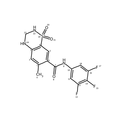 Cc1cc2c(cc1C(=O)Nc1cc(F)c(F)c(F)c1)S(=O)(=O)NCN2